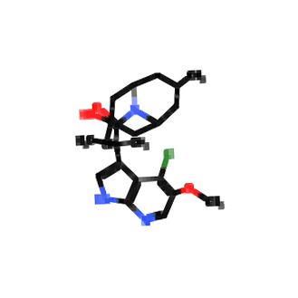 COc1cnc2[nH]cc(C(C)(C)C(=O)N3C4CC(C)CC3CC(C)(O)C4)c2c1Cl